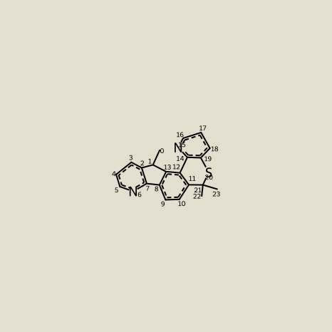 CC1c2cccnc2-c2ccc3c(c21)-c1ncccc1SC3(C)C